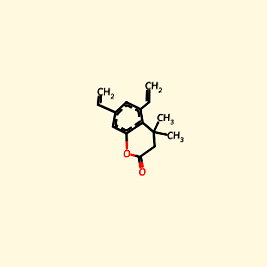 C=Cc1cc(C=C)c2c(c1)OC(=O)CC2(C)C